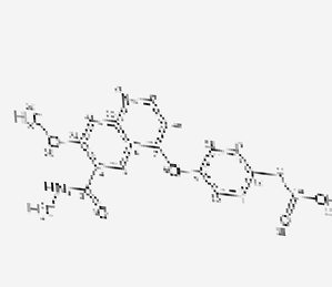 CNC(=O)c1cc2c(Oc3ccc(CC(=O)O)cc3)ccnc2cc1OC